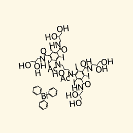 CC(=O)N(CC(O)CN(C(C)=O)c1c(I)c(C(=O)NCC(O)CO)c(I)c(C(=O)NCC(O)CO)c1I)c1c(I)c(C(=O)NCC(O)CO)c(I)c(C(=O)NCC(O)CO)c1I.c1cc[c]([Bi]([c]2ccccc2)[c]2ccccc2)cc1